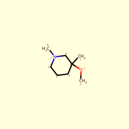 COC1(C)CCCN(C)C1